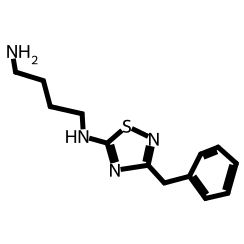 NCCCCNc1nc(Cc2ccccc2)ns1